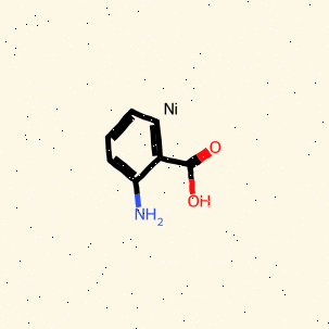 Nc1ccccc1C(=O)O.[Ni]